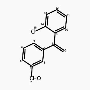 C=C(c1cccc(C=O)c1)c1ccccc1Cl